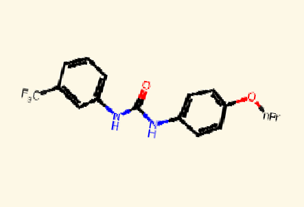 CCCOc1ccc(NC(=O)Nc2cccc(C(F)(F)F)c2)cc1